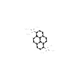 CO[Si](OC)(OC)c1ccc2ccc3c([Si](OC)(OC)OC)ccc4ccc1c2c43